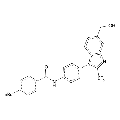 CCCCc1ccc(C(=O)Nc2ccc(-n3c(C(F)(F)F)nc4cc(CO)ccc43)cc2)cc1